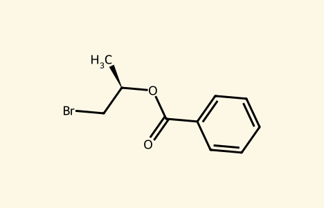 C[C@H](CBr)OC(=O)c1ccccc1